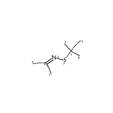 CC(C)=NSC(C)(C)C